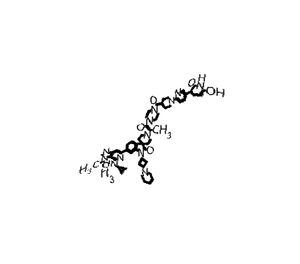 CC(C(=O)N1CCN(C(=O)C2CCN(c3ccc(C4CCC(O)NC4=O)cn3)CC2)CC1)N1CCC2(CC1)C(=O)N([C@H]1C[C@@H](N3CCCCC3)C1)c1cc(-c3cc4ncn(C(C)C)c4c(NC4CC4)n3)ccc12